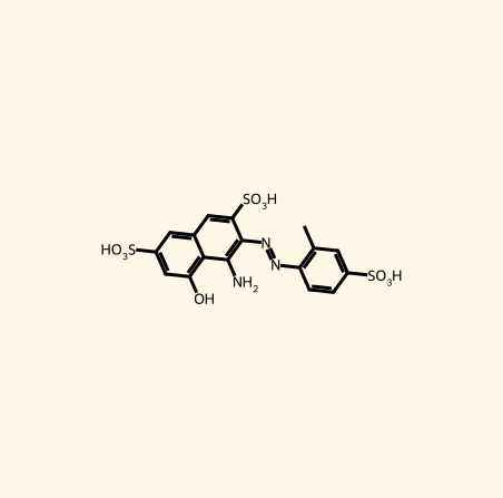 Cc1cc(S(=O)(=O)O)ccc1N=Nc1c(S(=O)(=O)O)cc2cc(S(=O)(=O)O)cc(O)c2c1N